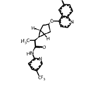 CC(C(=O)Nc1ccc(C(F)(F)F)cn1)[C@H]1[C@@H]2C[C@H](Oc3ccnc4ccc(F)cc34)C[C@@H]21